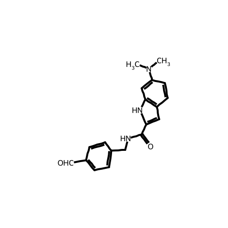 CN(C)c1ccc2cc(C(=O)NCc3ccc(C=O)cc3)[nH]c2c1